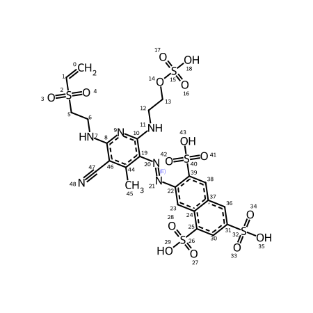 C=CS(=O)(=O)CCNc1nc(NCCOS(=O)(=O)O)c(/N=N/c2cc3c(S(=O)(=O)O)cc(S(=O)(=O)O)cc3cc2S(=O)(=O)O)c(C)c1C#N